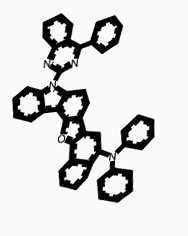 c1ccc(-c2nc(-n3c4ccccc4c4c5oc6c7ccccc7c(N(c7ccccc7)c7ccccc7)cc6c5ccc43)nc3ccccc23)cc1